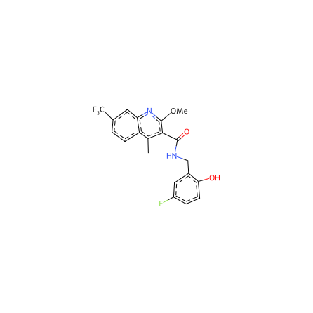 COc1nc2cc(C(F)(F)F)ccc2c(C)c1C(=O)NCc1cc(F)ccc1O